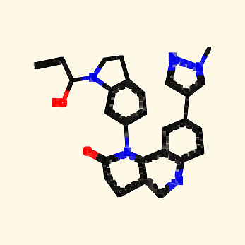 C=CC(O)N1CCc2ccc(-n3c(=O)ccc4cnc5ccc(-c6cnn(C)c6)cc5c43)cc21